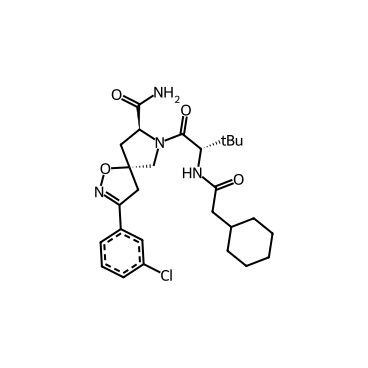 CC(C)(C)[C@H](NC(=O)CC1CCCCC1)C(=O)N1C[C@@]2(CC(c3cccc(Cl)c3)=NO2)C[C@H]1C(N)=O